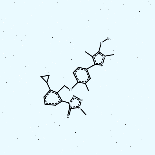 CCOc1c(C)c(-c2ccc(OCc3c(C4CC4)cccc3-n3nnn(C)c3=O)c(C)c2)nn1C